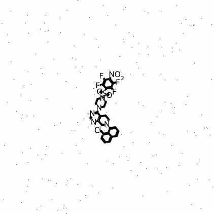 O=[N+]([O-])c1c(F)c(F)c(S(=O)(=O)N2CCN(c3ncnc4c3CCN(c3cccc5cccc(Cl)c35)C4)CC2)c(F)c1F